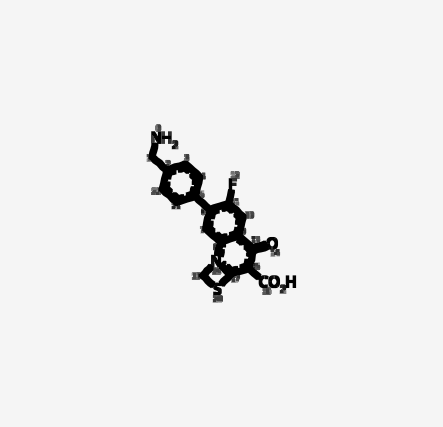 NCc1ccc(-c2cc3c(cc2F)c(=O)c(C(=O)O)c2n3CS2)cc1